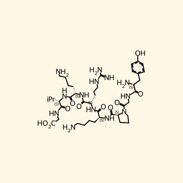 CC(C)[C@H](NC(=O)[C@H](CCCCN)NC(=O)[C@H](CCCNC(=N)N)NC(=O)[C@H](CCCCN)NC(=O)[C@@H]1CCCN1C(=O)CNC(=O)[C@@H](N)Cc1ccc(O)cc1)C(=O)NCC(=O)O